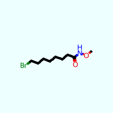 CONC(=O)CCCCCCCBr